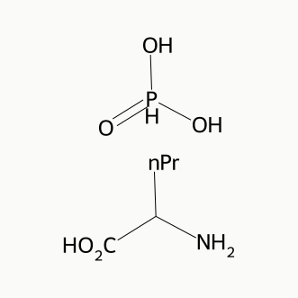 CCCC(N)C(=O)O.O=[PH](O)O